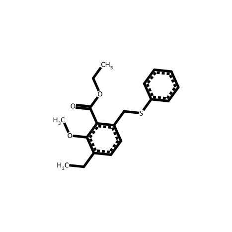 CCOC(=O)c1c(CSc2ccccc2)ccc(CC)c1OC